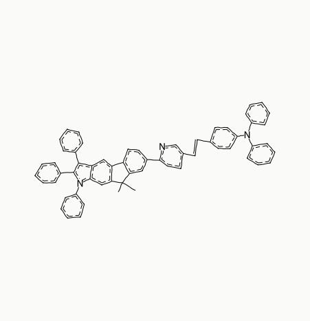 CC1(C)c2cc(-c3ccc(/C=C/c4ccc(N(c5ccccc5)c5ccccc5)cc4)cn3)ccc2-c2cc3c(-c4ccccc4)c(-c4ccccc4)n(-c4ccccc4)c3cc21